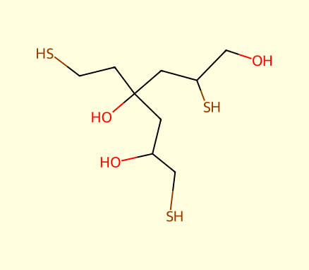 OCC(S)CC(O)(CCS)CC(O)CS